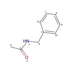 CC(=O)NCc1[c]cccc1